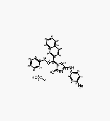 CC(=O)O.O=C1N=C(Nc2cc[c]([Na])cc2)S/C1=C(/OCc1ccccc1)c1ccc2ccccc2c1